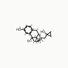 CC[C@@]12CCN(CC3(O)CC3)C(Cc3ccc(O)cc31)C2(C)C